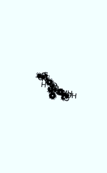 CCc1c(C(=O)O)[nH]c2ccc(NC(=O)[C@@H]3[C@H](C4CCCCC4)CCN3C(=O)[C@H]3CC[C@H]([C@@H](CF)NC(=O)OC(C)(C)C)CC3)cc12